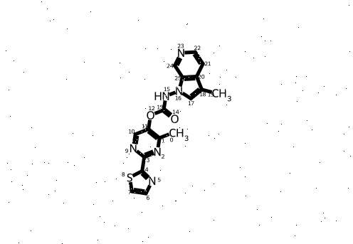 Cc1nc(-c2nccs2)ncc1OC(=O)Nn1cc(C)c2ccncc21